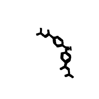 CC(C)CC(C)c1ccc(Nc2ccc(C(C)CC(C)C)cc2)cc1